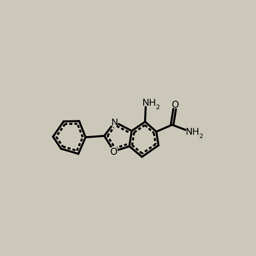 NC(=O)c1ccc2oc(-c3ccccc3)nc2c1N